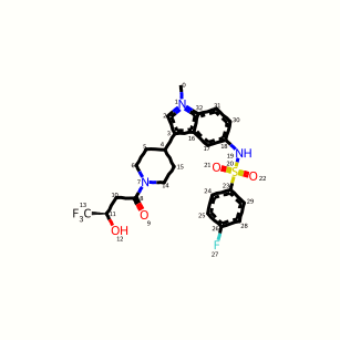 Cn1cc(C2CCN(C(=O)C[C@@H](O)C(F)(F)F)CC2)c2cc(NS(=O)(=O)c3ccc(F)cc3)ccc21